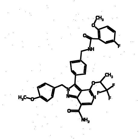 COc1ccc(Cn2nc3c(C(N)=O)cnc(OC(C)C(F)(F)F)c3c2-c2ccc(CNC(=O)c3cc(F)ccc3OC)cc2)cc1